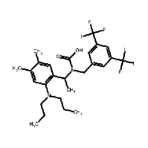 CCCN(CCC)c1cc(C)c(C)cc1C(C)N(Cc1cc(C(F)(F)F)cc(C(F)(F)F)c1)C(=O)O